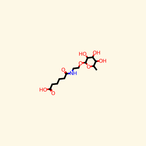 CC1OC(OCCNC(=O)CCCCC(=O)O)C(O)C(O)C1O